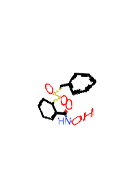 O=C(NO)C1=CCCCC1S(=O)(=O)Cc1ccccc1